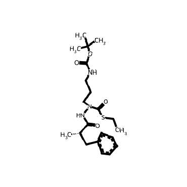 CCSC(=O)N(CCCNC(=O)OC(C)(C)C)NC(=O)[C@@H](C)Cc1ccccc1